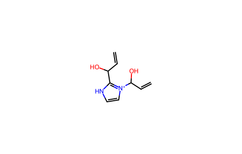 C=CC(O)c1[nH]cc[n+]1C(O)C=C